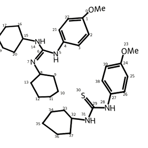 COc1ccc(NC(=NC2CCCCC2)NC2CCCCC2)cc1.COc1ccc(NC(=S)NC2CCCCC2)cc1